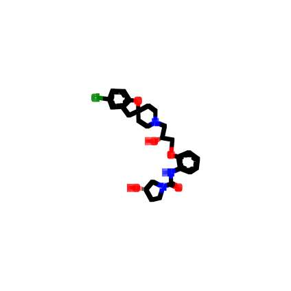 O=C(Nc1ccccc1OC[C@H](O)CN1CCC2(CC1)Cc1cc(Cl)ccc1O2)N1CC[C@H](O)C1